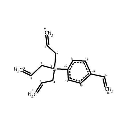 C=CC[Si](CC=C)(CC=C)c1ccc(C=C)cc1